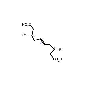 CC(C)[C@@H](C/C=C/C[C@@H](CC(=O)O)C(C)C)CC(=O)O